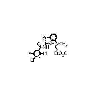 CCOC(=O)CCN(C)c1cccc(C(C)C)c1NC(=O)NC(=O)c1cc(F)c(Cl)nc1Cl